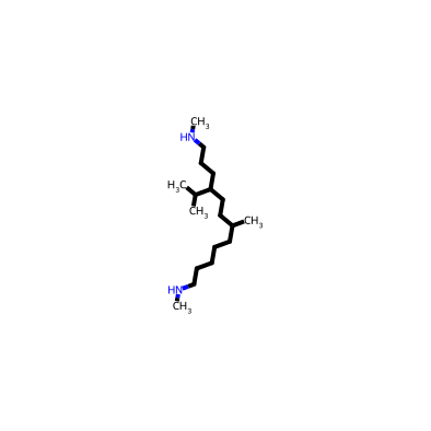 CNCCCCCC(C)CCC(CCCNC)C(C)C